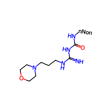 CCCCCCCCCNC(=O)NC(=N)NCCCN1CCOCC1